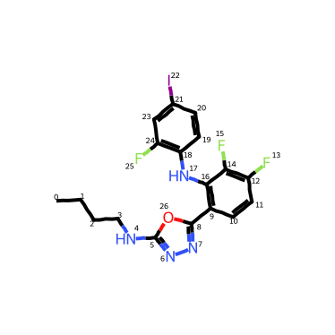 CCCCNc1nnc(-c2ccc(F)c(F)c2Nc2ccc(I)cc2F)o1